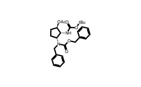 CC(=O)O[C@@H]1CC[C@@H](N(Cc2ccccc2)C(=O)OCc2ccccc2)[C@H]1NC(=O)OC(C)(C)C